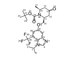 CC(C)n1cnc2cc(OC[C@@H]3CC(=O)C[C@H](C)N3C(=O)OC(C)(C)C)cc(C(F)(F)F)c21